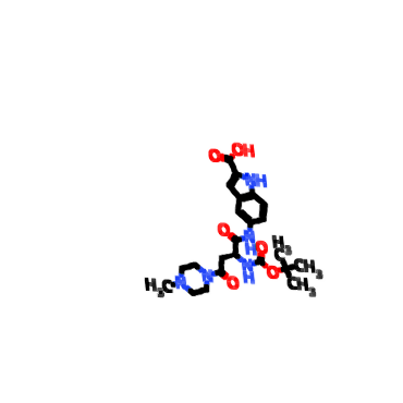 CN1CCN(C(=O)C[C@H](NC(=O)OC(C)(C)C)C(=O)Nc2ccc3[nH]c(C(=O)O)cc3c2)CC1